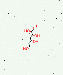 OCCC(O)CC(O)C(O)CO